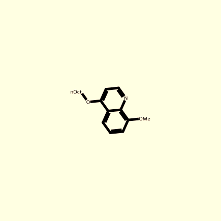 CCCCCCCCOc1ccnc2c(OC)cccc12